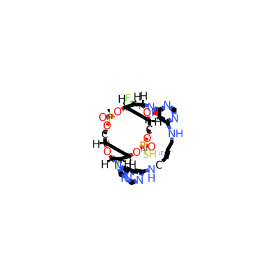 C[P@]1(=O)OC[C@H]2O[C@@H]3[C@H](F)[C@@H]2O[P@@](=O)(S)OC[C@H]2O[C@H]([C@H](F)[C@@H]2O1)n1cnc2c(ncnc21)NC/C=C/CNc1ncnc2c1ncn23